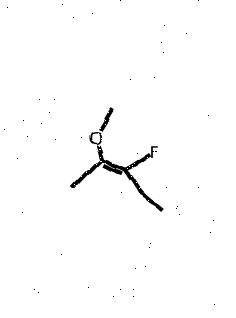 CC/C(F)=C(\C)OC